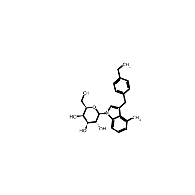 CCc1ccc(Cc2cn([C@@H]3O[C@H](CO)[C@H](O)[C@H](O)[C@H]3O)c3cccc(C)c23)cc1